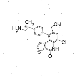 C[C@@H](CN)c1ccc(-c2c(CO)cc(Cl)c3[nH]c(=O)c4sccc4c23)cc1